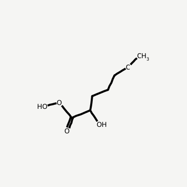 CCCCCC(O)C(=O)OO